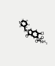 NS(=O)(=O)c1cc2c(cc1Cl)CN(Cc1cccnc1)C2=O